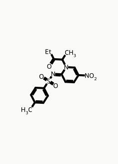 CCC(=O)C(C)n1cc([N+](=O)[O-])cc/c1=N\S(=O)(=O)c1ccc(C)cc1